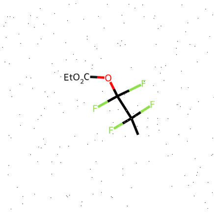 CCOC(=O)OC(F)(F)C(C)(F)F